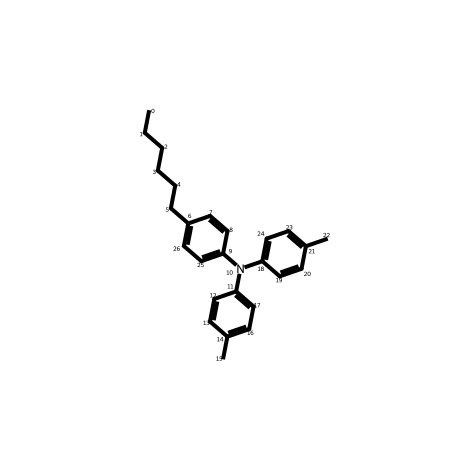 CCCCCCc1ccc(N(c2ccc(C)cc2)c2ccc(C)cc2)cc1